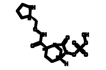 O=C(NOC[C@@H]1CCCN1)[C@@H]1CC[C@@H]2CN1C(=O)N2OS(=O)(=O)OO